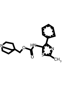 Cc1nc(-c2ccccc2)c(NC(=O)OCC23CCN(CC2)CC3)s1